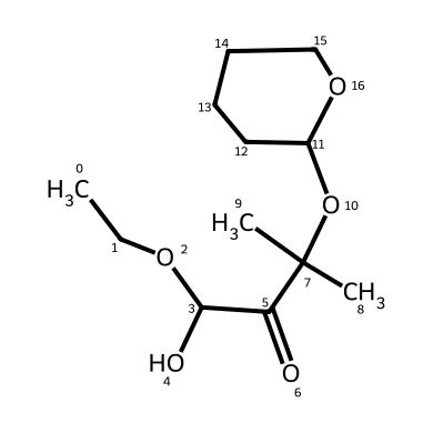 CCOC(O)C(=O)C(C)(C)OC1CCCCO1